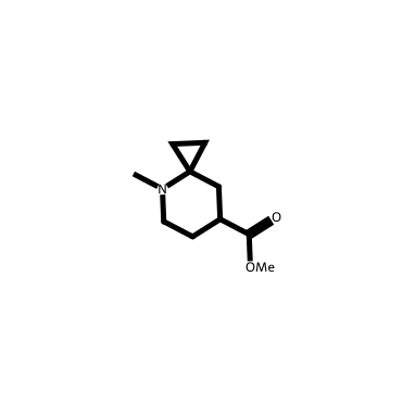 COC(=O)C1CCN(C)C2(CC2)C1